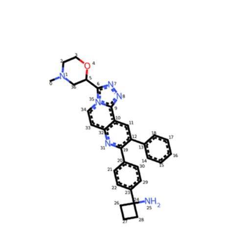 CN1CCOC(c2nnc3c4cc(-c5ccccc5)c(-c5ccc(C6(N)CCC6)cc5)nc4ccn23)C1